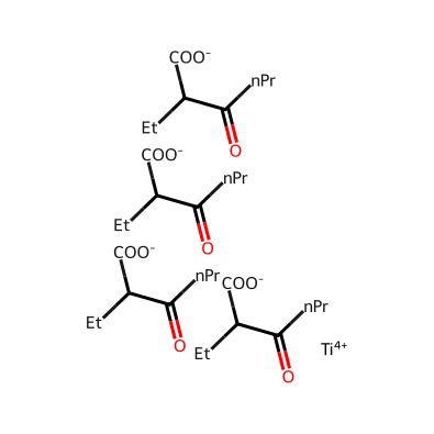 CCCC(=O)C(CC)C(=O)[O-].CCCC(=O)C(CC)C(=O)[O-].CCCC(=O)C(CC)C(=O)[O-].CCCC(=O)C(CC)C(=O)[O-].[Ti+4]